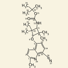 Cc1ccc2c(OC3C(C)(C)C(NC(=O)OC(C)(C)C)C3(C)C)ccc(C#N)c2n1